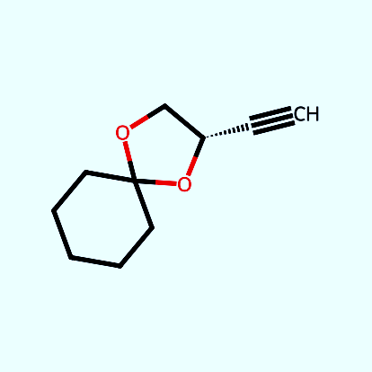 C#C[C@H]1COC2(CCCCC2)O1